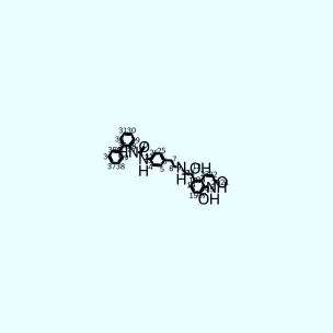 O=C(Nc1ccc(CCNC[C@H](O)c2ccc(O)c3[nH]c(=O)ccc23)cc1)Nc1ccccc1-c1ccccc1